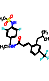 CC(C)Cc1cc(C(F)(F)F)ccc1C=CC(=O)N[C@H](C)c1cc(F)c(NS(C)(=O)=O)c(F)c1